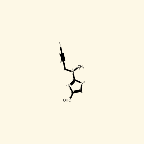 CN(CC#CI)c1nc(C=O)cs1